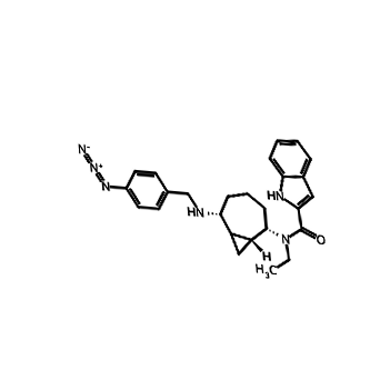 CCN(C(=O)c1cc2ccccc2[nH]1)[C@H]1CCC[C@@H](NCc2ccc(N=[N+]=[N-])cc2)C2C[C@H]21